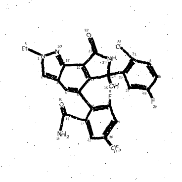 CCn1cc2cc(-c3c(F)cc(C(F)(F)F)cc3C(N)=O)c3c(c2n1)C(=O)NC3(O)c1cc(F)ccc1Cl